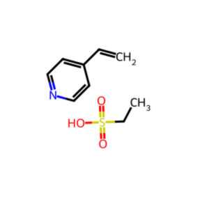 C=Cc1ccncc1.CCS(=O)(=O)O